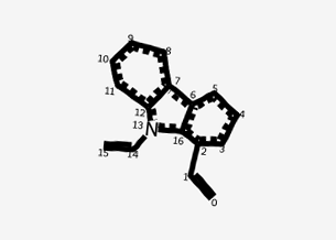 C=Cc1cccc2c3ccccc3n(C=C)c12